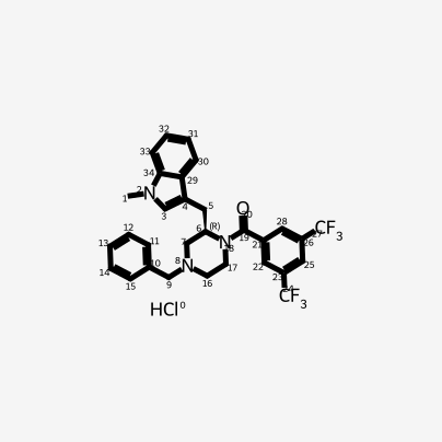 Cl.Cn1cc(C[C@@H]2CN(Cc3ccccc3)CCN2C(=O)c2cc(C(F)(F)F)cc(C(F)(F)F)c2)c2ccccc21